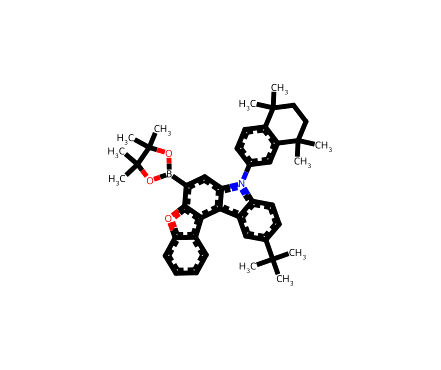 CC(C)(C)c1ccc2c(c1)c1c3c(oc4ccccc43)c(B3OC(C)(C)C(C)(C)O3)cc1n2-c1ccc2c(c1)C(C)(C)CCC2(C)C